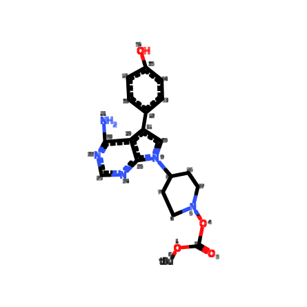 CC(C)(C)OC(=O)ON1CCC(n2cc(-c3ccc(O)cc3)c3c(N)ncnc32)CC1